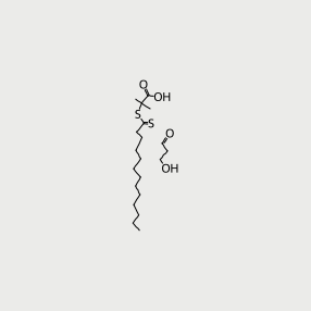 CCCCCCCCCCCCC(=S)SC(C)(C)C(=O)O.O=CCCO